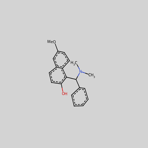 COc1ccc2c(C(c3ccccc3)N(C)C)c(O)ccc2c1